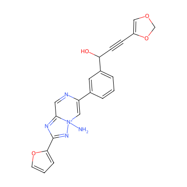 N[N+]12C=C(c3cccc(C(O)C#CC4=COCO4)c3)N=CC1=NC(c1ccco1)=N2